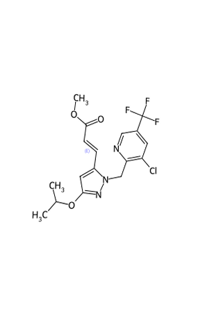 COC(=O)/C=C/c1cc(OC(C)C)nn1Cc1ncc(C(F)(F)F)cc1Cl